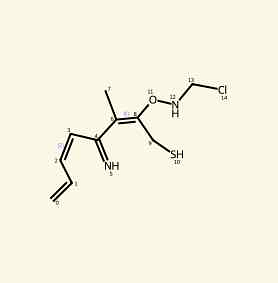 C=C/C=C\C(=N)/C(C)=C(\CS)ONCCl